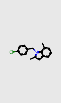 Cc1cccc2cc(C)n(Cc3ccc(Cl)cc3)c12